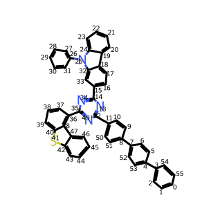 c1ccc(-c2ccc(-c3ccc(-c4nc(-c5ccc6c7ccccc7n(-c7ccccc7)c6c5)nc(-c5cccc6sc7ccccc7c56)n4)cc3)cc2)cc1